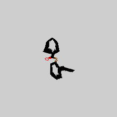 CCc1ccccc1SC(=O)c1ccccc1